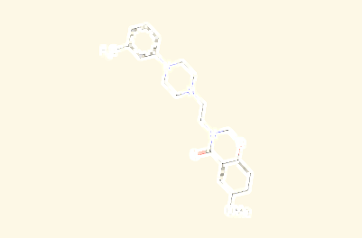 COC1C=C2C(=O)N(CCN3CCN(c4cccc(C(F)(F)F)c4)CC3)COC2=CC1